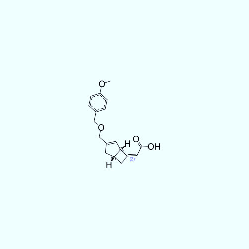 COc1ccc(COCC2=C[C@@H]3/C(=C\C(=O)O)C[C@@H]3C2)cc1